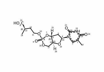 Cc1cn([C@@H]2C[C@H]3OP(=O)(OCC[C@@H](C)C(=O)O)OC[C@@H]3O2)c(=O)[nH]c1=O